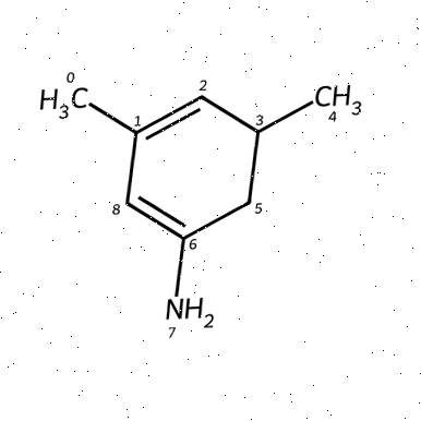 CC1=CC(C)CC(N)=C1